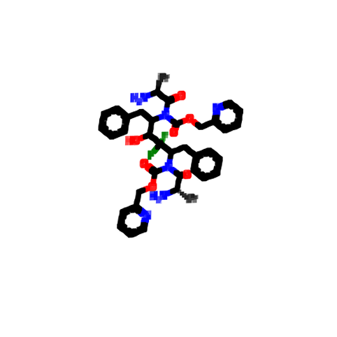 CC(C)[C@H](N)C(=O)N(C(=O)OCc1ccccn1)C(Cc1ccccc1)C(O)C(F)(F)C(Cc1ccccc1)N(C(=O)OCc1ccccn1)C(=O)[C@@H](N)C(C)C